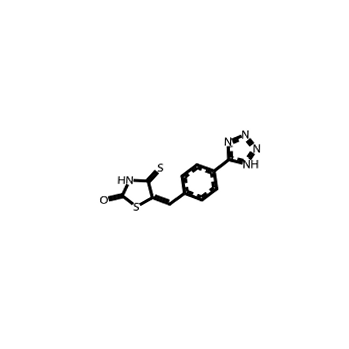 O=C1NC(=S)/C(=C\c2ccc(-c3nnn[nH]3)cc2)S1